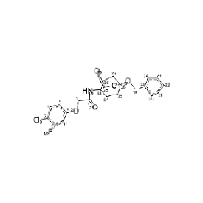 O=C(COc1ccc(Cl)c(F)c1)NC12CCC(OCc3ccccc3)(CC1)CC2=O